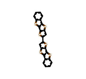 c1ccc2c(c1)sc1c3sc(-c4cc5sc6c7ccccc7sc6c5s4)cc3sc21